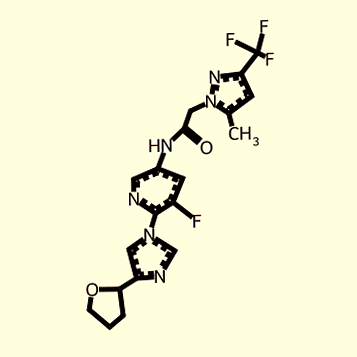 Cc1cc(C(F)(F)F)nn1CC(=O)Nc1cnc(-n2cnc(C3CCCO3)c2)c(F)c1